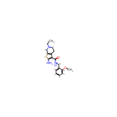 CCN1CCc2c(sc(N)c2C(=O)NCc2ccccc2OC)C1